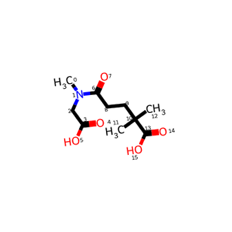 CN(CC(=O)O)C(=O)CCC(C)(C)C(=O)O